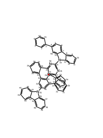 c1ccc(-c2ccc3c4ccccc4n(-c4nc(-c5ccccc5)nc(-c5ccccc5-c5cc(-n6c7ccccc7c7ccccc76)cc6c5oc5ccccc56)n4)c3c2)cc1